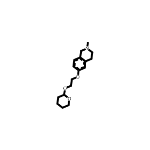 CN1CCc2cc(OCCOC3CCCCO3)ccc2C1